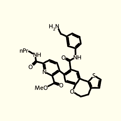 CCCNC(=O)c1ccc(-c2cc3c(cc2C(=O)Nc2cccc(CN)c2)-c2sccc2CCO3)c(C(=O)OC)n1